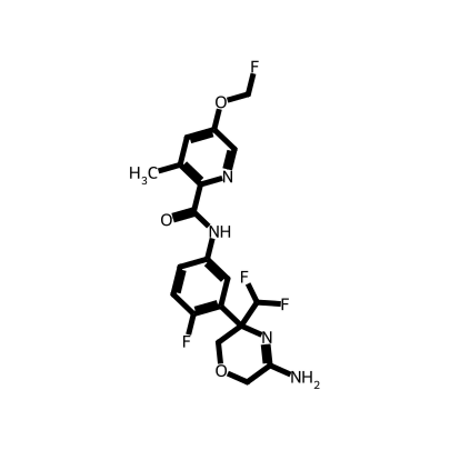 Cc1cc(OCF)cnc1C(=O)Nc1ccc(F)c(C2(C(F)F)COCC(N)=N2)c1